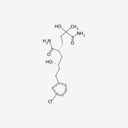 CC(O)(CC[C@H](C[C@@H](O)[CH]Cc1cccc(Cl)c1)C(N)=O)C(N)=O